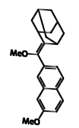 COC(=C1C2CC3CC(C2)CC1C3)c1ccc2ccc(OC)cc2c1